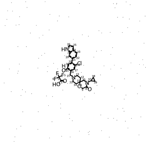 O=C(O)C(F)(F)F.O=C1COC2(CCN(Cc3cc(Cl)c(-c4ccc5cc[nH]c5c4)cc3O)CC2)CN1C1CC1